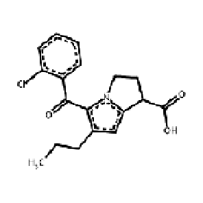 CCCc1cc2n(c1C(=O)c1ccccc1Cl)CCC2C(=O)O